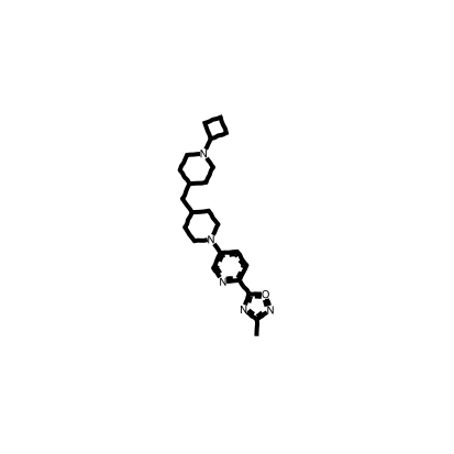 Cc1noc(-c2ccc(N3CCC(CC4CCN(C5CCC5)CC4)CC3)cn2)n1